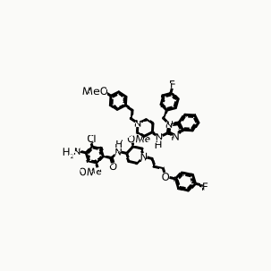 COc1cc(N)c(Cl)cc1C(=O)NC1CCN(CCCOc2ccc(F)cc2)CC1OC.COc1ccc(CCN2CCC(Nc3nc4ccccc4n3Cc3ccc(F)cc3)CC2)cc1